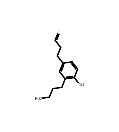 CCCCc1cc(CCC=O)ccc1O